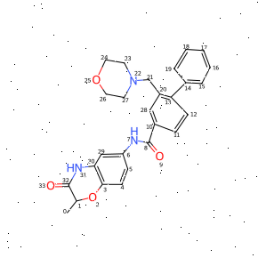 CC1Oc2ccc(NC(=O)c3ccc(-c4ccccc4)c(CN4CCOCC4)c3)cc2NC1=O